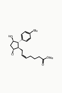 COC(=O)CCC/C=C\C[C@@H]1[C@@H](c2ccc(C(C)(C)C)cc2)[C@H](O)C[C@@H]1Cl